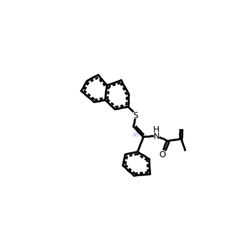 C=C(C)C(=O)N/C(=C\Sc1ccc2ccccc2c1)c1ccccc1